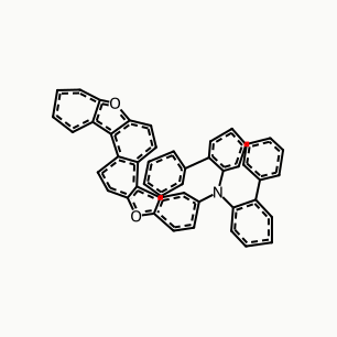 c1ccc(-c2ccccc2N(c2ccc3oc4ccc5c(ccc6oc7ccccc7c65)c4c3c2)c2ccccc2-c2ccccc2)cc1